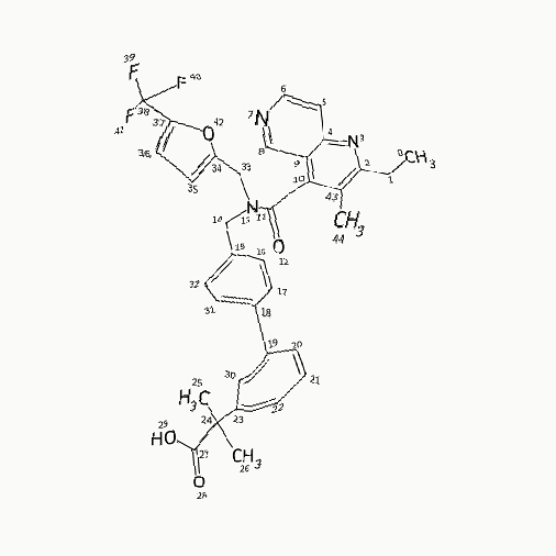 CCc1nc2ccncc2c(C(=O)N(Cc2ccc(-c3cccc(C(C)(C)C(=O)O)c3)cc2)Cc2ccc(C(F)(F)F)o2)c1C